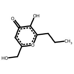 CCCc1oc(CO)cc(=O)c1O